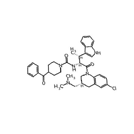 C[C@H](c1c[nH]c2ccccc12)[C@@H](NC(=O)N1CCC(C(=O)c2ccccc2)CC1)C(=O)N1C[C@@H](CN(C)C)Cc2cc(Cl)ccc21